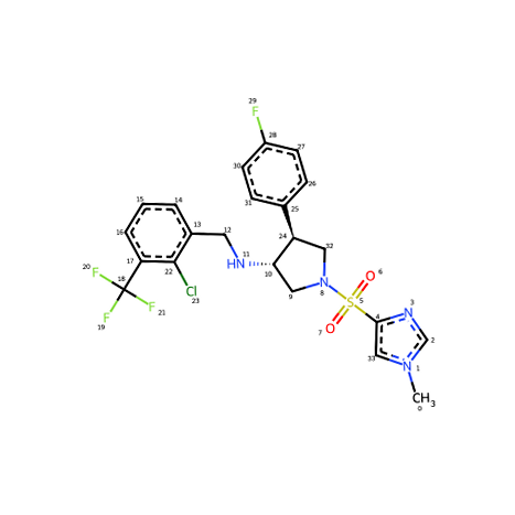 Cn1cnc(S(=O)(=O)N2C[C@H](NCc3cccc(C(F)(F)F)c3Cl)[C@@H](c3ccc(F)cc3)C2)c1